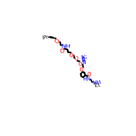 CCNCCNC(=O)c1cccc(OCC(N=[N+]=[N-])OCCOCCOCCCC(=O)NCCOCC#CC(C)C)c1